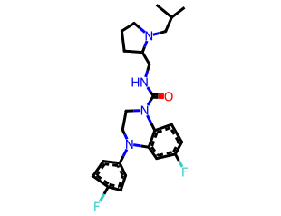 CC(C)CN1CCCC1CNC(=O)N1CCN(c2ccc(F)cc2)c2cc(F)ccc21